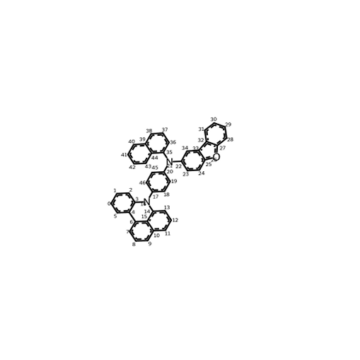 c1ccc2c(c1)-c1cccc3cccc(c13)N2c1ccc(N(c2ccc3oc4ccccc4c3c2)c2cccc3ccccc23)cc1